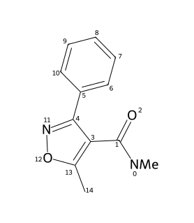 CNC(=O)c1c(-c2ccccc2)noc1C